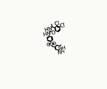 CCCC1C=C(CS(=O)(=O)c2ccc(NC(=O)NC(C)c3cccc(Cl)c3Cl)cc2)CC(C)N1